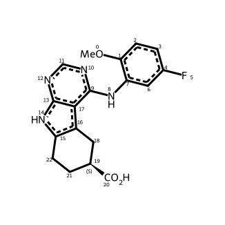 COc1ccc(F)cc1Nc1ncnc2[nH]c3c(c12)C[C@@H](C(=O)O)CC3